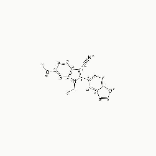 CCn1c(-c2ccc3occc3c2)c(C#N)c2ccc(OC)cc21